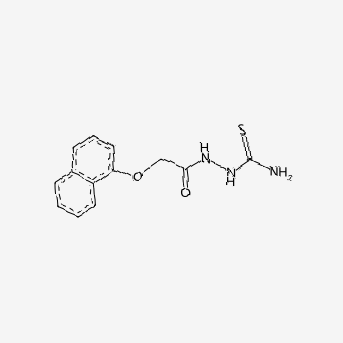 NC(=S)NNC(=O)COc1cccc2ccccc12